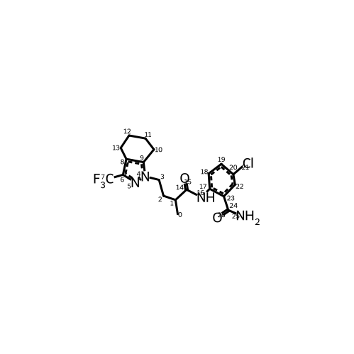 CC(CCn1nc(C(F)(F)F)c2c1CCCC2)C(=O)Nc1ccc(Cl)cc1C(N)=O